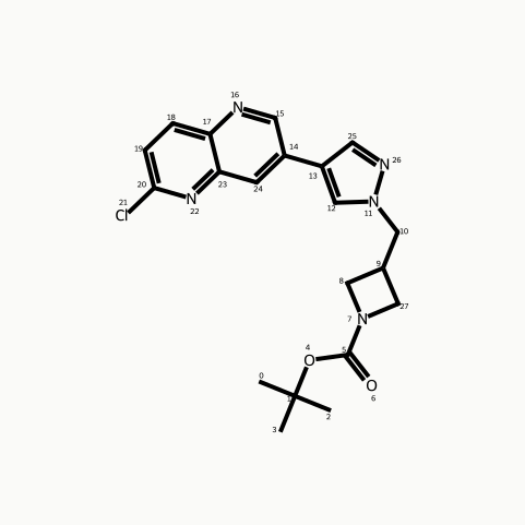 CC(C)(C)OC(=O)N1CC(Cn2cc(-c3cnc4ccc(Cl)nc4c3)cn2)C1